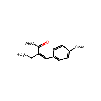 COC(=O)C(=Cc1ccc(OC)cc1)CC(=O)O